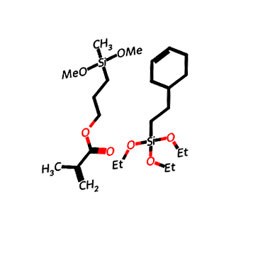 C=C(C)C(=O)OCCC[Si](C)(OC)OC.CCO[Si](CCC1CC=CCC1)(OCC)OCC